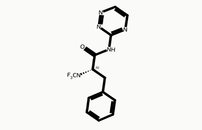 O=C(Nc1nccnn1)[C@H](Cc1ccccc1)NC(F)(F)F